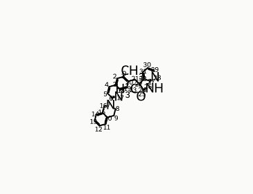 Cc1cc2ccc(N3CCc4ccccc4C3)nc2cc1CC1(C)C(=O)Nc2ncccc21